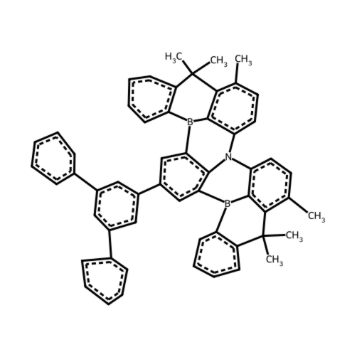 Cc1ccc2c3c1C(C)(C)c1ccccc1B3c1cc(-c3cc(-c4ccccc4)cc(-c4ccccc4)c3)cc3c1N2c1ccc(C)c2c1B3c1ccccc1C2(C)C